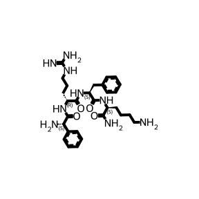 N=C(N)NCCC[C@@H](NC(=O)[C@@H](N)c1ccccc1)C(=O)N[C@@H](Cc1ccccc1)C(=O)N[C@@H](CCCCN)C(N)=O